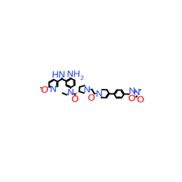 CCN(C(=O)[C@@H]1CCN(CC(=O)N2CC=C(c3ccc(-c4nn(C)c(=O)o4)cc3)CC2)C1)c1ccc(N)c(C(=N)c2ccc(OC)nc2)c1